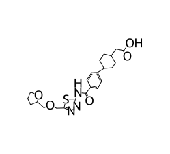 O=C(O)CC1CCC(c2ccc(C(=O)Nc3nnc(COCC4CCCO4)s3)cc2)CC1